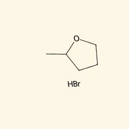 Br.CC1CCCO1